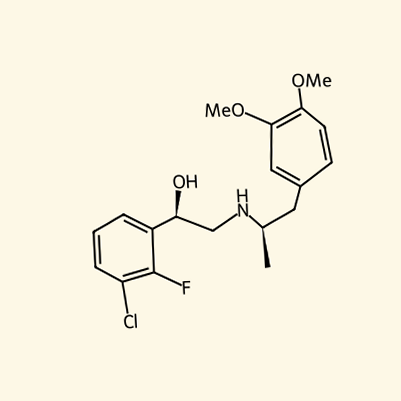 COc1ccc(C[C@@H](C)NC[C@H](O)c2cccc(Cl)c2F)cc1OC